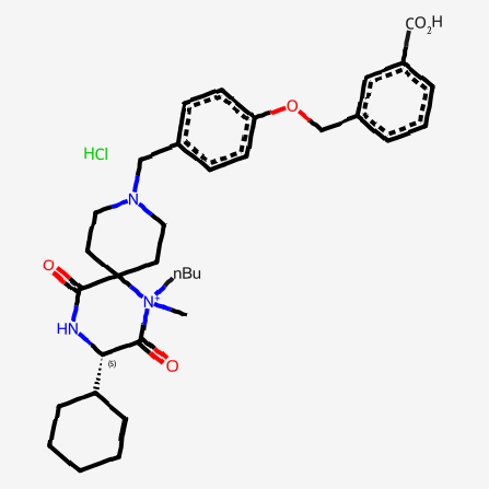 CCCC[N+]1(C)C(=O)[C@H](C2CCCCC2)NC(=O)C12CCN(Cc1ccc(OCc3cccc(C(=O)O)c3)cc1)CC2.Cl